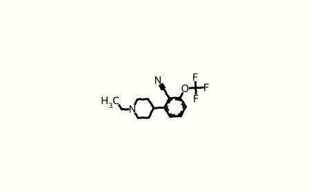 CCN1CCC(c2cccc(OC(F)(F)F)c2C#N)CC1